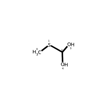 CSC(O)O